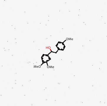 COc1ccc(CC(O)c2ccc(OC)c(OC)c2)cc1